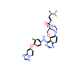 Cc1cc(Nc2ncnc3ccc4c(c23)OC[C@H]2CN4CCN2C(=O)/C=C/[C@@H](C)N(C)C)ccc1Oc1ccn2ncnc2c1